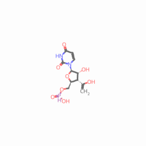 C=C(O)[C@H]1[C@@H](O)[C@H](n2ccc(=O)[nH]c2=O)O[C@@H]1CO[PH](=O)O